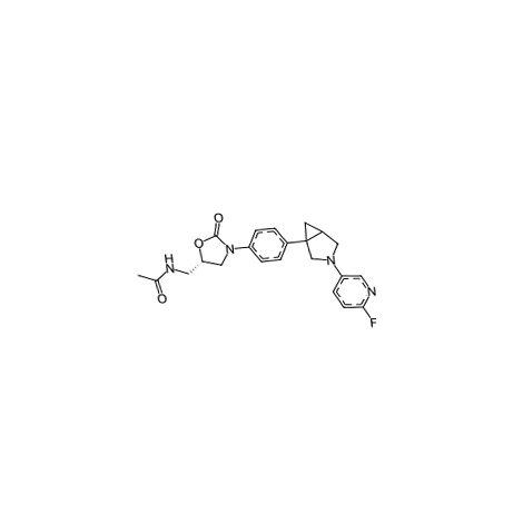 CC(=O)NC[C@H]1CN(c2ccc(C34CC3CN(c3ccc(F)nc3)C4)cc2)C(=O)O1